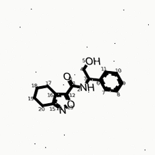 O=C(NC(CO)c1ccccc1)c1onc2c1CCCC2